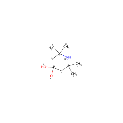 CC1(C)CC([O])(O)CC(C)(C)N1